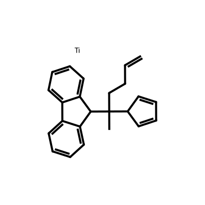 C=CCCC(C)(C1C=CC=C1)C1c2ccccc2-c2ccccc21.[Ti]